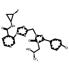 O=C(N[C@H]1C[C@H]1F)c1ccncc1-n1cnc(Cn2nc(-c3ccc(Cl)cc3)n(C[C@H](O)C(F)(F)F)c2=O)n1